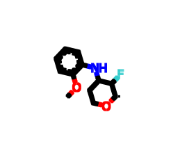 COc1ccccc1NC1CCO[CH]C1F